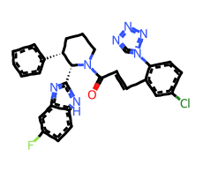 O=C(/C=C/c1cc(Cl)ccc1-n1cnnn1)N1CCC[C@@H](c2ccccc2)[C@H]1c1nc2cc(F)ccc2[nH]1